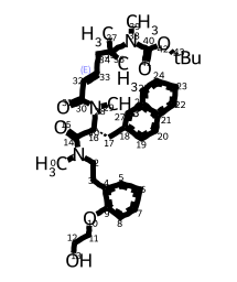 CN(CCc1ccccc1OCCO)C(=O)[C@@H](Cc1ccc2ccccc2c1)N(C)C(=O)/C=C/CC(C)(C)N(C)C(=O)OC(C)(C)C